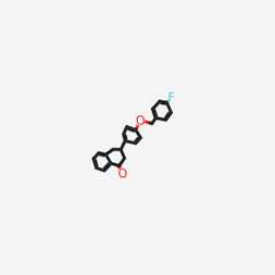 O=C1CC(c2ccc(OCc3ccc(F)cc3)cc2)Cc2ccccc21